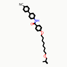 C=C(C)COCCCCCCCCOc1ccc(C(=O)Nc2ccc(-c3ccc(C#N)cc3)cc2)cc1